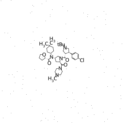 CN1CCN(C(=O)[C@H]2C[C@H](N(C(=O)[C@@H]3CCCO3)C3CCC(C)(C)CC3)CN2C(=O)[C@@H]2CN(C(C)(C)C)C[C@H]2c2ccc(Cl)cc2)CC1